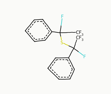 FC(F)(F)C(F)(SC(F)(c1ccccc1)C(F)(F)F)c1ccccc1